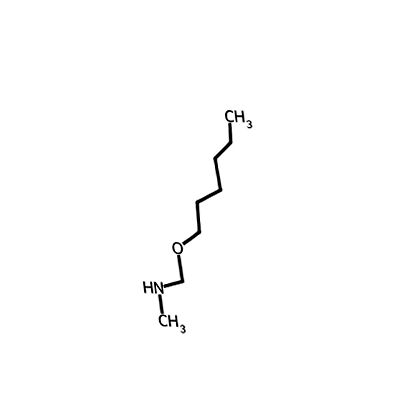 CCCCCCOCNC